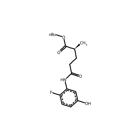 CCCCOC(=O)[C@@H](C)CCC(=O)Nc1cc(O)ccc1F